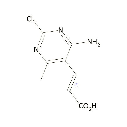 Cc1nc(Cl)nc(N)c1/C=C/C(=O)O